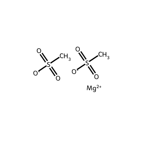 CS(=O)(=O)[O-].CS(=O)(=O)[O-].[Mg+2]